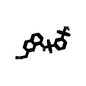 CNCc1ccc2cccc(NS(=O)(=O)c3cccc(S(N)(=O)=O)c3)c2n1